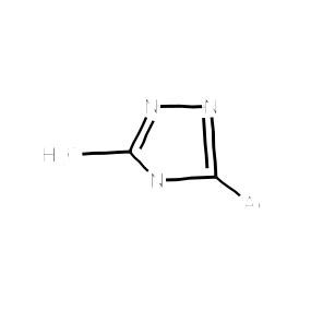 CC(=O)C1=NN=C(C)[N]1